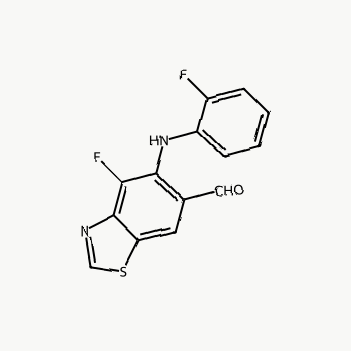 O=Cc1cc2scnc2c(F)c1Nc1ccccc1F